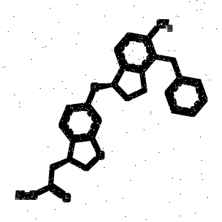 COC(=O)C[C@@H]1COc2cc(O[C@@H]3CCc4c3ccc(C(F)(F)F)c4Cc3ccccc3)ccc21